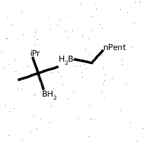 BC(C)(C)C(C)C.BCCCCCC